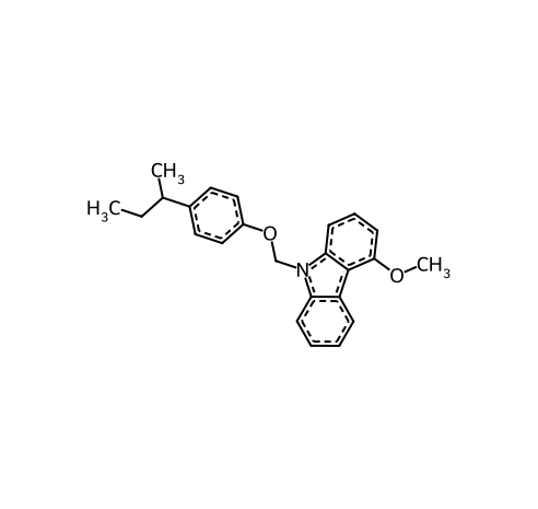 CCC(C)c1ccc(OCn2c3ccccc3c3c(OC)cccc32)cc1